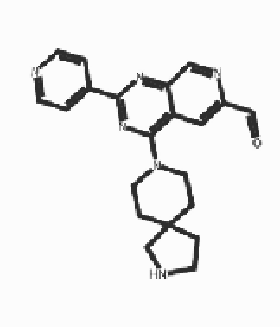 O=Cc1cc2c(N3CCC4(CCNC4)CC3)nc(-c3ccncc3)nc2cn1